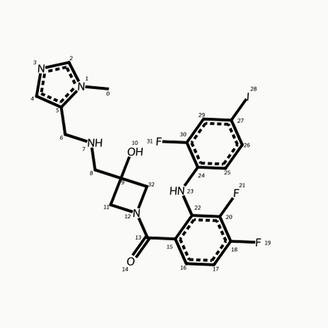 Cn1cncc1CNCC1(O)CN(C(=O)c2ccc(F)c(F)c2Nc2ccc(I)cc2F)C1